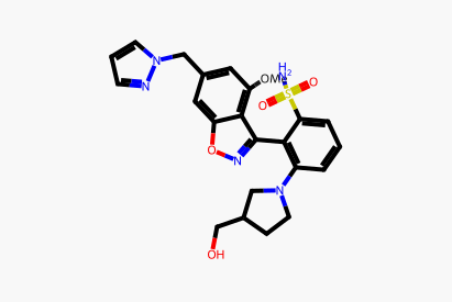 COc1cc(Cn2cccn2)cc2onc(-c3c(N4CCC(CO)C4)cccc3S(N)(=O)=O)c12